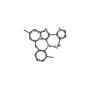 CC(=O)N(c1c(C)cccc1C)c1c(-c2sccc2Br)nc2cc(C)cc(C)n12